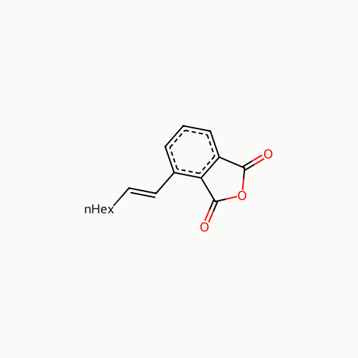 CCCCCCC=Cc1cccc2c1C(=O)OC2=O